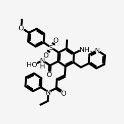 CCN(C(=O)C=Cc1c(Cc2cccnc2)c(N)c(C)c(S(=O)(=O)c2ccc(OC)cc2)c1C(=O)NO)c1ccccc1